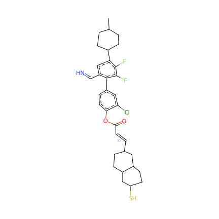 CC1CCC(c2cc(C=N)c(-c3ccc(OC(=O)/C=C/C4CCC5CC(S)CCC5C4)c(Cl)c3)c(F)c2F)CC1